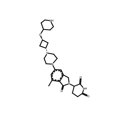 Cc1cc(N2CCN([C@H]3C[C@H](OC4CCNCC4)C3)CC2)cc2c1C(=O)N(C1CCC(=O)NC1=O)C2